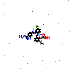 CCOc1cccc(CNc2ccc(Cl)cc2CNc2ccc(C(=N)N)cc2)c1OCC(=O)O